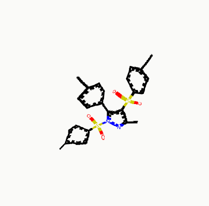 Cc1ccc(-c2c(S(=O)(=O)c3ccc(C)cc3)c(C)nn2S(=O)(=O)c2ccc(C)cc2)cc1